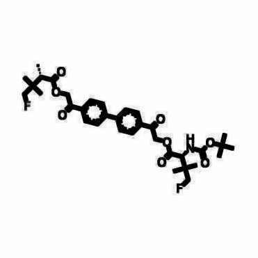 C[C@H](C(=O)OCC(=O)c1ccc(-c2ccc(C(=O)COC(=O)[C@@H](NC(=O)OC(C)(C)C)C(C)(C)CF)cc2)cc1)C(C)(C)CF